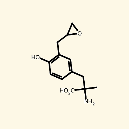 CC(N)(Cc1ccc(O)c(CC2CO2)c1)C(=O)O